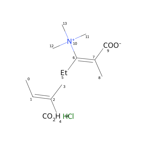 CC=C(C)C(=O)O.CCC(=C(C)C(=O)[O-])[N+](C)(C)C.Cl